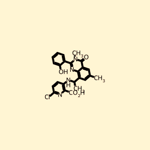 Cc1cc(C(C)Nc2ccc(Cl)nc2C(=O)O)c2nc(-c3ccccc3O)n(C)c(=O)c2c1